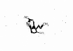 C=CCc1c(O)ccc2nc(C#N)sc12